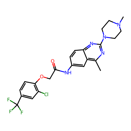 Cc1nc(N2CCN(C)CC2)nc2ccc(NC(=O)COc3ccc(C(F)(F)F)cc3Cl)cc12